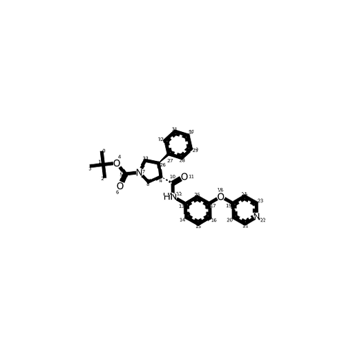 CC(C)(C)OC(=O)N1C[C@@H](C(=O)Nc2cccc(Oc3ccncc3)c2)[C@H](c2ccccc2)C1